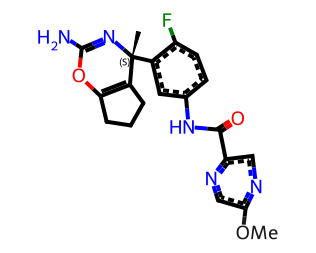 COc1cnc(C(=O)Nc2ccc(F)c([C@@]3(C)N=C(N)OC4=C3CCC4)c2)cn1